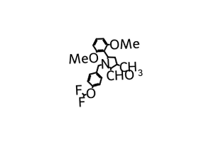 COc1cccc(OC)c1C1CC(C)C(C=O)N1Cc1ccc(OC(F)F)cc1